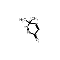 CC1(C)C=CC(=O)N=N1